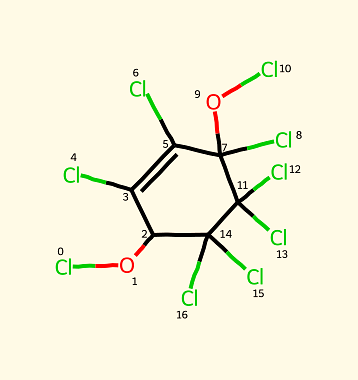 ClOC1C(Cl)=C(Cl)C(Cl)(OCl)C(Cl)(Cl)C1(Cl)Cl